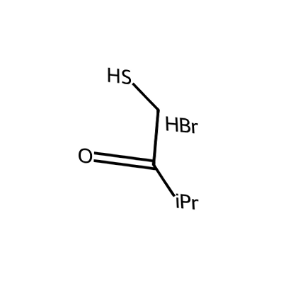 Br.CC(C)C(=O)CS